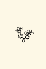 CS(=O)(=O)c1cccc(C(=O)c2cnc(N3C[C@@H]4O[C@@H]4C3)s2)c1